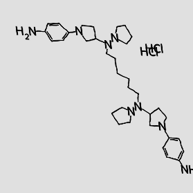 Cl.Cl.Nc1ccc(N2CCC(N(CCCCCCN(C3CCN(c4ccc(N)cc4)C3)N3CCCC3)N3CCCC3)C2)cc1